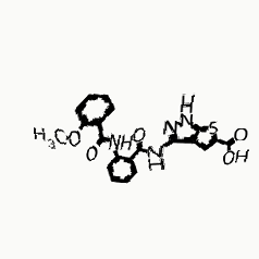 COc1ccccc1C(=O)Nc1ccccc1C(=O)Nc1n[nH]c2sc(C(=O)O)cc12